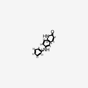 O=c1ccc2cc(Nc3ccccc3)ccc2[nH]1